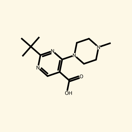 CN1CCN(c2nc(C(C)(C)C)ncc2C(=O)O)CC1